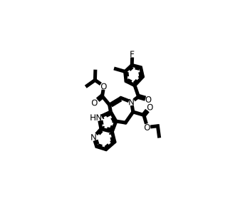 CCOC(=O)C1Cc2c([nH]c3ncccc23)C(C(=O)OC(C)C)=CN1C(=O)c1ccc(F)c(C)c1